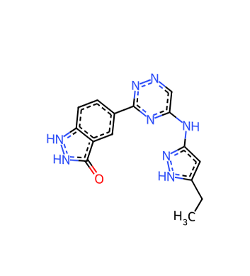 CCc1cc(Nc2cnnc(-c3ccc4[nH][nH]c(=O)c4c3)n2)n[nH]1